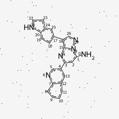 Nc1cc(-c2cnc3ccccc3c2)nc2c(-c3ccc4[nH]ccc4c3)cnn12